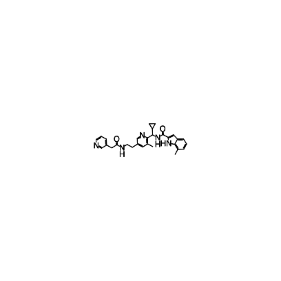 Cc1cc(CCNC(=O)Cc2cccnc2)cnc1C(NC(=O)c1cc2cccc(C)c2[nH]1)C1CC1